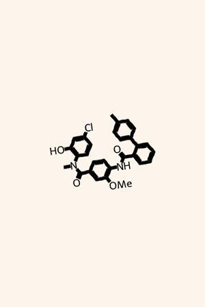 COc1cc(C(=O)N(C)c2ccc(Cl)cc2O)ccc1NC(=O)c1ccccc1-c1ccc(C)cc1